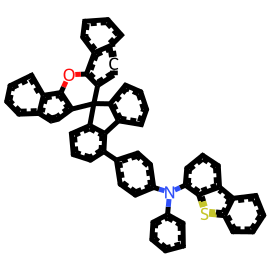 c1ccc(N(c2ccc(-c3cccc4c3-c3ccccc3C43c4ccc5ccccc5c4Oc4c3ccc3ccccc43)cc2)c2cccc3c2sc2ccccc23)cc1